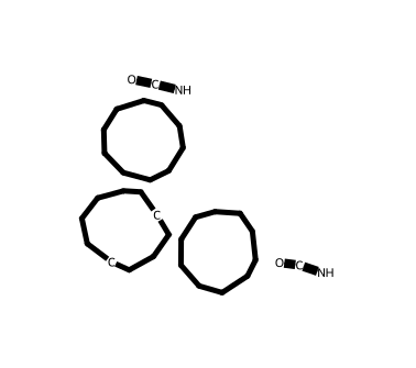 C1CCCCCCCCC1.C1CCCCCCCCC1.C1CCCCCCCCC1.N=C=O.N=C=O